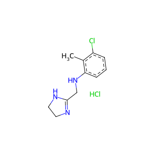 Cc1c(Cl)cccc1NCC1=NCCN1.Cl